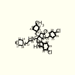 Cc1ccc(S[C@]2(C(=O)NCCCN3CCOCC3)CC(=O)N(Cc3ccc(Cl)cc3)[C@@H]2c2n[nH]c3cc(Cl)ccc23)cc1